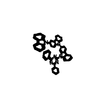 c1ccc(-c2nc(-c3ccccc3)nc(-n3c4ccccc4c4ccc(-n5c6ccccc6c6cc(-n7c8ccccc8c8ccccc87)ccc65)cc43)n2)cc1